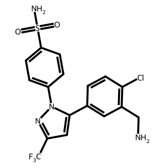 NCc1cc(-c2cc(C(F)(F)F)nn2-c2ccc(S(N)(=O)=O)cc2)ccc1Cl